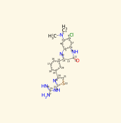 CN(C)c1cc2c(cc1Cl)NC(=O)CC(c1cccc(-c3csc(NC(=N)N)n3)c1)=N2